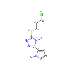 Cn1cccc1-c1nnc(SCCCCl)n1C